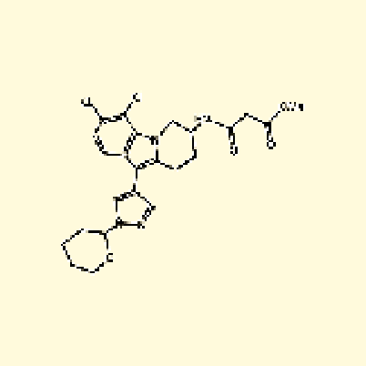 COC(=O)CC(=O)NC1CCc2c(-c3cnn(C4CCCCO4)c3)c3ccc(Cl)c(Cl)c3n2C1